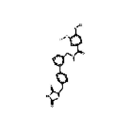 CCOc1ccc(C(=O)N(C)Cc2cccc(-c3ccc(CC4SC(=O)NC4=O)cc3)c2)cc1OCC